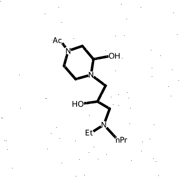 CCCN(CC)CC(O)CN1CCN(C(C)=O)CC1O